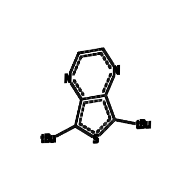 CC(C)(C)c1sc(C(C)(C)C)c2nccnc12